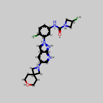 O=C(Nc1ccc(F)c(-n2cc3cc(N4CC5(CCOCC5)C4)cnc3n2)c1)N1CC(F)C1